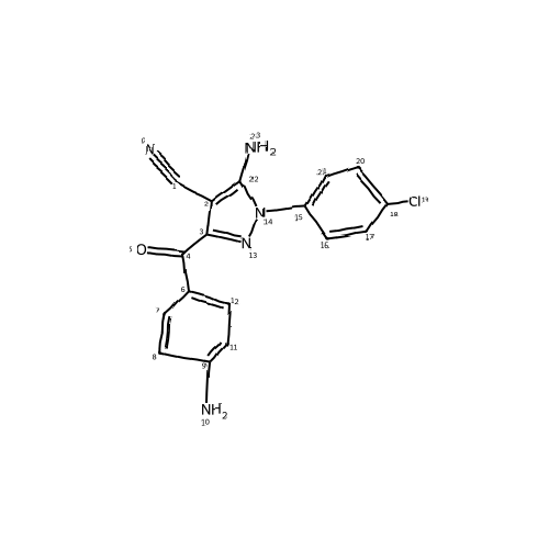 N#Cc1c(C(=O)c2ccc(N)cc2)nn(-c2ccc(Cl)cc2)c1N